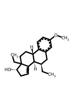 CC[C@@H]1Cc2cc(OC)ccc2[C@H]2CCC3(CC)C(=CC[C@@H]3O)[C@H]12